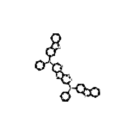 c1ccc(N(c2ccc3c(c2)oc2ccccc23)c2cnc3c(c2)sc2cc(N(c4ccccc4)c4ccc5c(c4)oc4ccccc45)nnc23)cc1